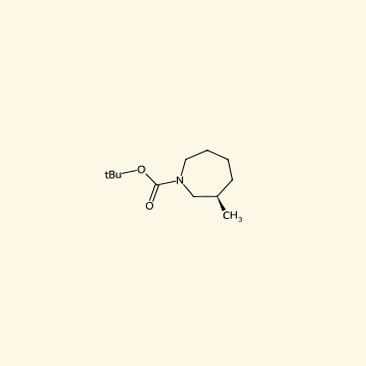 C[C@@H]1CCCCN(C(=O)OC(C)(C)C)C1